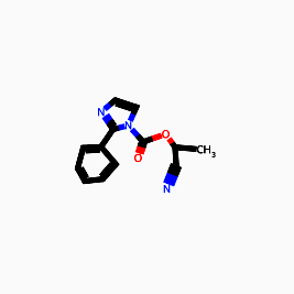 CC(C#N)OC(=O)n1ccnc1-c1ccccc1